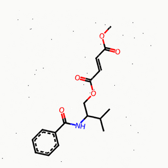 COC(=O)/C=C/C(=O)OCC(NC(=O)c1ccccc1)C(C)C